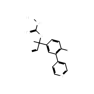 CNC(=N)NC(C)(C=O)c1ccc(F)c(-c2ccncc2)c1